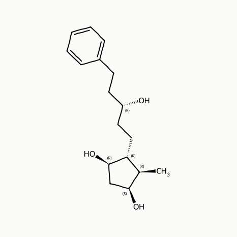 C[C@@H]1[C@@H](CC[C@@H](O)CCc2ccccc2)[C@H](O)C[C@@H]1O